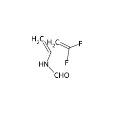 C=C(F)F.C=CNC=O